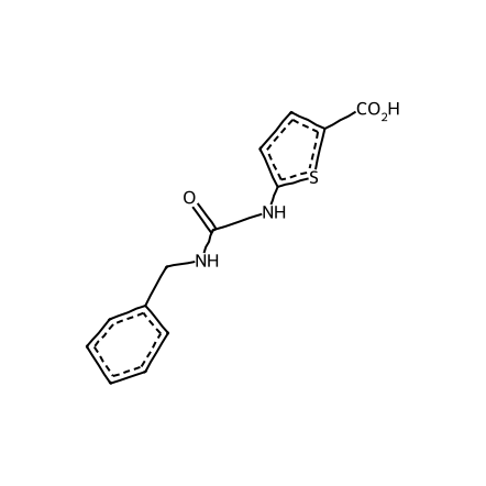 O=C(NCc1ccccc1)Nc1ccc(C(=O)O)s1